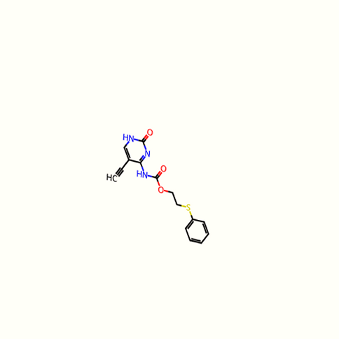 C#Cc1c[nH]c(=O)nc1NC(=O)OCCSc1ccccc1